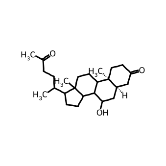 CC(=O)CCC(C)C1CCC2C3C(O)C[C@@H]4CC(=O)CC[C@]4(C)C3CCC12C